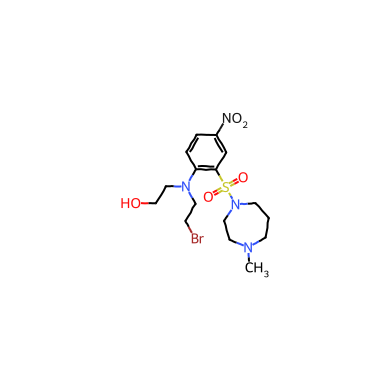 CN1CCCN(S(=O)(=O)c2cc([N+](=O)[O-])ccc2N(CCO)CCBr)CC1